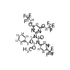 COCN(C(=O)N(COCc1ccccc1)c1nc(OCC(F)(F)F)cc(OCC(F)(F)F)n1)c1ccc(C(F)(F)F)nc1